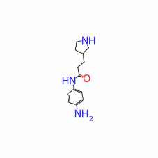 Nc1ccc(NC(=O)CCC2CCNC2)cc1